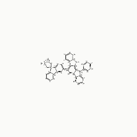 CC[Si]1(CC)c2ccccc2-c2cc(-c3cc4c5ccccc5n(-c5ccccc5)c4c4sc5ccccc5c34)ccc21